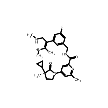 CNC/C(=C(/C)NC)c1cc(F)cc(CNC(=O)c2cc(N3CC[C@@](C)(C4CC4)C3=O)cc(C)n2)c1